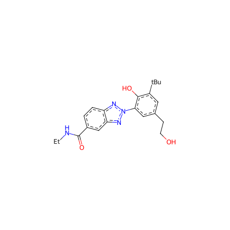 CCNC(=O)c1ccc2nn(-c3cc(CCO)cc(C(C)(C)C)c3O)nc2c1